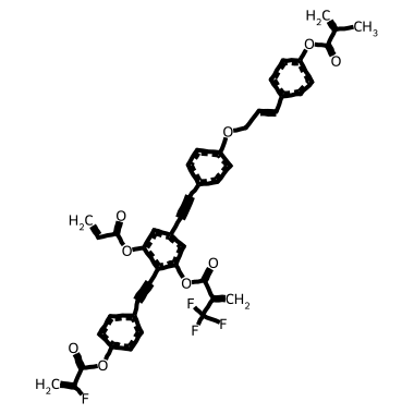 C=CC(=O)Oc1cc(C#Cc2ccc(OC/C=C/c3ccc(OC(=O)C(=C)C)cc3)cc2)cc(OC(=O)C(=C)C(F)(F)F)c1C#Cc1ccc(OC(=O)C(=C)F)cc1